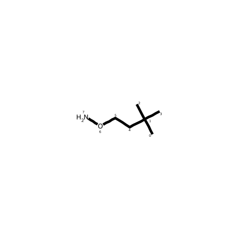 CC(C)(C)[CH]CON